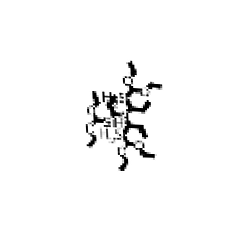 CCOC(OCC)[SiH2]C(CC)N(C(CC)[SiH2]C(OCC)OCC)C(CC)[SiH2]C(OCC)OCC